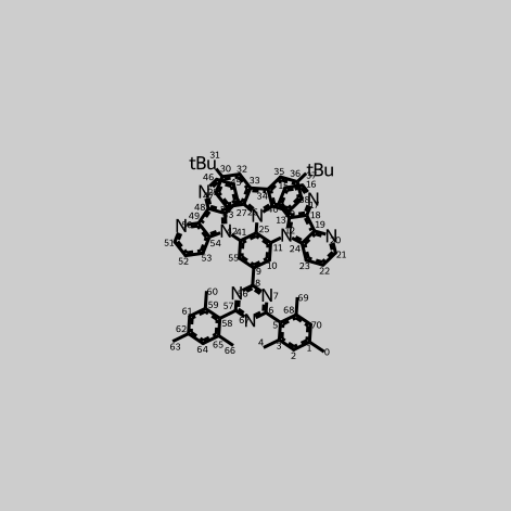 Cc1cc(C)c(-c2nc(-c3cc(-n4c5cccnc5c5ncccc54)c(-n4c5ccc(C(C)(C)C)cc5c5cc(C(C)(C)C)ccc54)c(-n4c5cccnc5c5ncccc54)c3)nc(-c3c(C)cc(C)cc3C)n2)c(C)c1